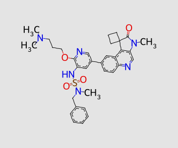 CN(C)CCCOc1ncc(-c2ccc3ncc4c(c3c2)C2(CCC2)C(=O)N4C)cc1NS(=O)(=O)N(C)Cc1ccccc1